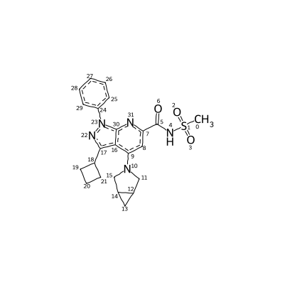 CS(=O)(=O)NC(=O)c1cc(N2CC3CC3C2)c2c(C3CCC3)nn(-c3ccccc3)c2n1